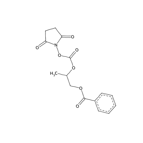 CC(COC(=O)c1ccccc1)OC(=O)ON1C(=O)CCC1=O